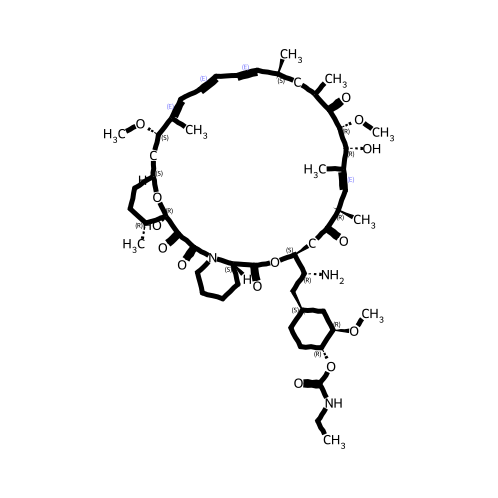 CCNC(=O)O[C@@H]1CC[C@@H](C[C@@H](N)[C@@H]2CC(=O)[C@H](C)/C=C(\C)[C@@H](O)[C@@H](OC)C(=O)C(C)C[C@H](C)/C=C/C=C/C=C(\C)[C@@H](OC)C[C@@H]3CC[C@@H](C)[C@@](O)(O3)C(=O)C(=O)N3CCCC[C@H]3C(=O)O2)C[C@H]1OC